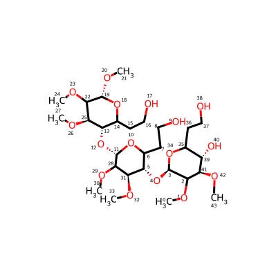 COC1[C@@H](O[C@H]2C(CCO)O[C@@H](O[C@H]3C(CCO)O[C@@H](OC)C(OC)[C@@H]3OC)C(OC)[C@@H]2OC)OC(CCO)[C@H](O)[C@H]1OC